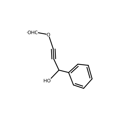 O=[C]OC#CC(O)c1ccccc1